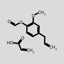 C=CC(=O)O.C=CCc1ccc(OC=O)c(OC)c1